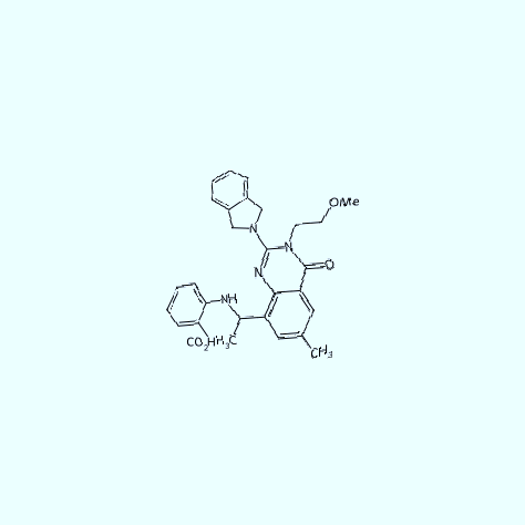 COCCn1c(N2Cc3ccccc3C2)nc2c(C(C)Nc3ccccc3C(=O)O)cc(C)cc2c1=O